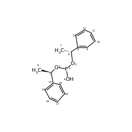 C[C@@H](OP(O)O[C@H](C)c1ccccc1)c1ccccc1